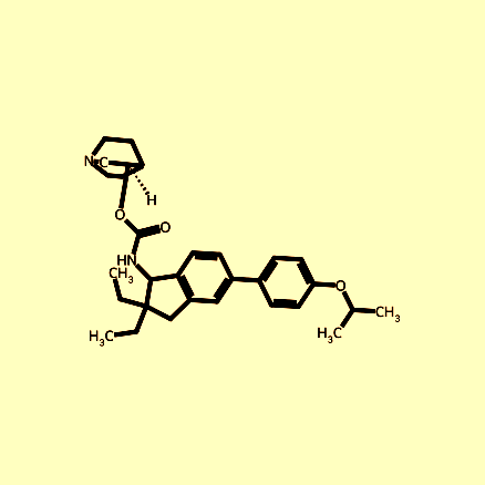 CCC1(CC)Cc2cc(-c3ccc(OC(C)C)cc3)ccc2C1NC(=O)O[C@H]1CN2CCC1CC2